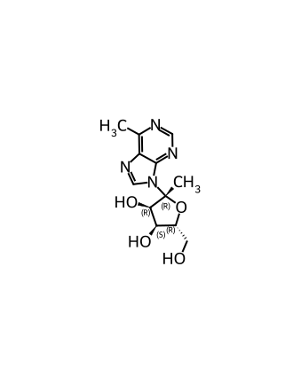 Cc1ncnc2c1ncn2[C@]1(C)O[C@H](CO)[C@@H](O)[C@H]1O